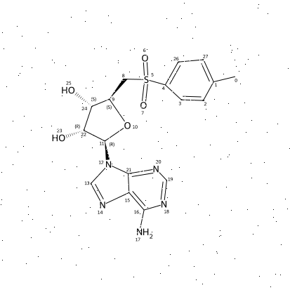 Cc1ccc(S(=O)(=O)C[C@H]2O[C@@H](n3cnc4c(N)ncnc43)[C@H](O)[C@@H]2O)cc1